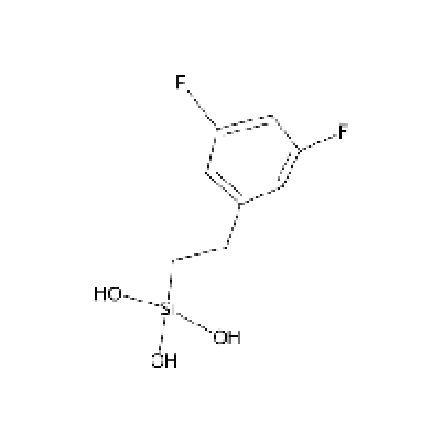 O[Si](O)(O)CCc1cc(F)cc(F)c1